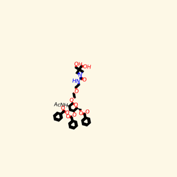 CC(=O)N[C@@H]1[C@@H](OCCOCCNC(=O)N2CC(CO)(CO)C2)O[C@@H](COC(=O)c2ccccc2)[C@@H](OC(=O)c2ccccc2)[C@H]1OC(=O)c1ccccc1